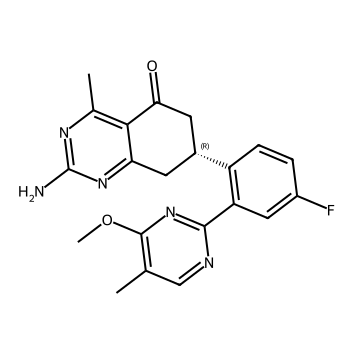 COc1nc(-c2cc(F)ccc2[C@H]2CC(=O)c3c(C)nc(N)nc3C2)ncc1C